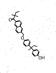 CCC(C)(C)C(=O)c1ccc2cc(COc3ccc(C(C)(CC)c4ccc(O)cc4)cc3)ccc2c1